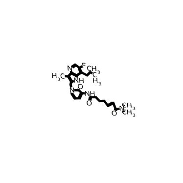 Cc1c(Cn2cccc(NC(=O)CCC/C=C/C(=O)N(C)C)c2=O)[nH]c2c(CC(C)C)c(F)cnc12